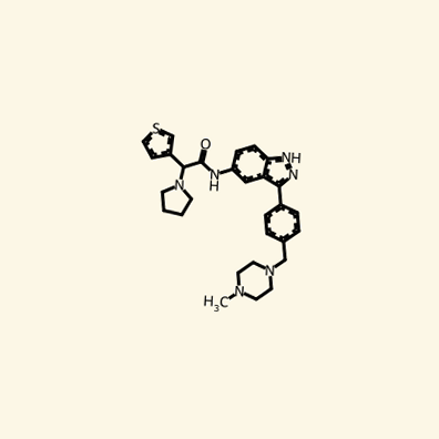 CN1CCN(Cc2ccc(-c3n[nH]c4ccc(NC(=O)C(c5ccsc5)N5CCCC5)cc34)cc2)CC1